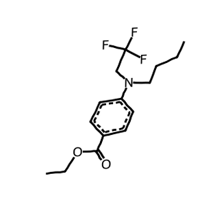 CCCCN(CC(F)(F)F)c1ccc(C(=O)OCC)cc1